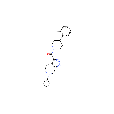 O=C(c1n[nH]c2c1CCN(C1CCC1)C2)N1CCC(c2ccccc2C(F)(F)F)CC1